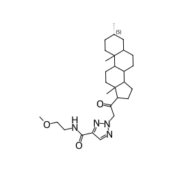 COCCNC(=O)c1cnn(CC(=O)C2CCC3C4CCC5C[C@@H](C)CCC5(C)C4CCC23C)n1